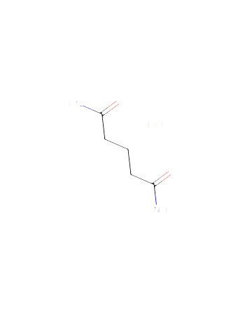 Cl.[NH]C(=O)CCCC(N)=O